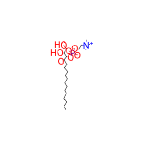 CCCCCCCCCCCCCC(=O)C(OP(=O)([O-])OCC[N+](C)(C)C)[C@@H](O)CO